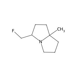 CC12CCCN1C(CF)CC2